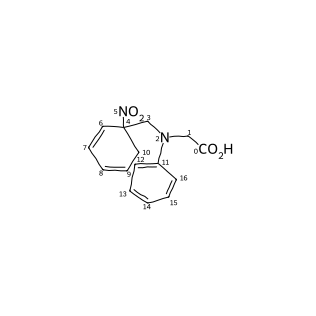 O=C(O)CN(CC1([N+](=O)[O-])C=CC=CC1)c1ccccc1